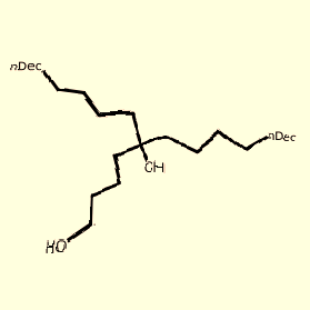 CCCCCCCCCCCCCCC(O)(CCC[CH]O)CCCCCCCCCCCCCC